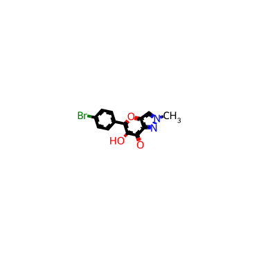 Cn1cc2oc(-c3ccc(Br)cc3)c(O)c(=O)c2n1